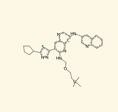 C[Si](C)(C)CCOCNc1nc2cc(Nc3cnc4ccccc4c3)cnc2cc1-c1nnc(C2CCCC2)s1